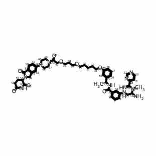 C[C@@H](NC(=O)c1cccc(NCC(N)N(C)C(=N)c2ccncn2)c1)c1cccc(OCCCCCOCCCOCC(=O)N2CCN(c3ccc4c(c3)CN(C3CCC(=O)NC3=O)C4=O)CC2)c1